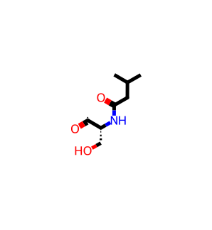 CC(C)CC(=O)N[C@@H]([C]=O)CO